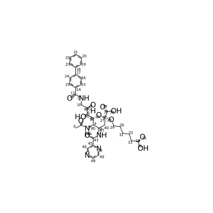 CC(=O)N[C@H]1[C@H]([C@H](O)[C@H](O)CNC(=O)c2ccc(-c3ccccc3)cc2)O[C@@](OCCCCCC(=O)O)(C(=O)O)C[C@@H]1NC(=O)c1cnccn1